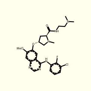 COc1cc2ncnc(Nc3cccc(Cl)c3F)c2cc1O[C@@H]1C[C@@H](C(=O)NCCN(C)C)N(C)C1